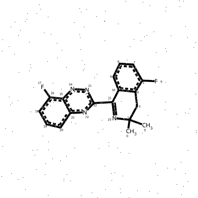 CC1(C)Cc2c(F)cccc2C(c2nnc3c(F)cccc3n2)=N1